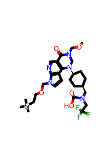 COCN1CN([C@H]2CC[C@H](CN(CC(F)(F)F)C(=O)O)CC2)c2c(cnc3c2ccn3COCC[Si](C)(C)C)C1=O